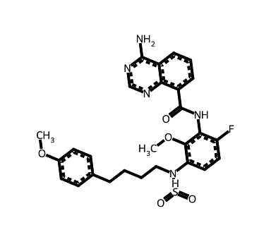 COc1ccc(CCCCN(c2ccc(F)c(NC(=O)c3cccc4c(N)ncnc34)c2OC)[SH](=O)=O)cc1